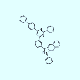 c1ccc(-c2ccc(-c3cc(-c4cccc(-c5nn(-c6ccccc6)c6cc7ccccc7cc56)c4)nc(-c4ccccc4)n3)cc2)cc1